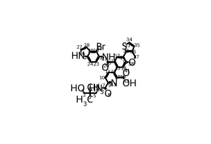 CC(C)(CO)CNC(=O)c1ccc(-c2cc3c(cc2C(=O)Nc2ccc4[nH]ccc4c2Br)-c2sccc2CO3)c(C(=O)O)n1